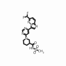 CS(=O)(=O)NC(=O)C1CCCN(c2cc(-c3cnc4ccc(C(F)F)nn34)ncn2)C1